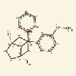 COc1cccc([C@@]2(O)C[C@H]3CC[C@@H](C2)N3Cc2ccccc2)c1